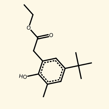 CCOC(=O)Cc1cc(C(C)(C)C)cc(C)c1O